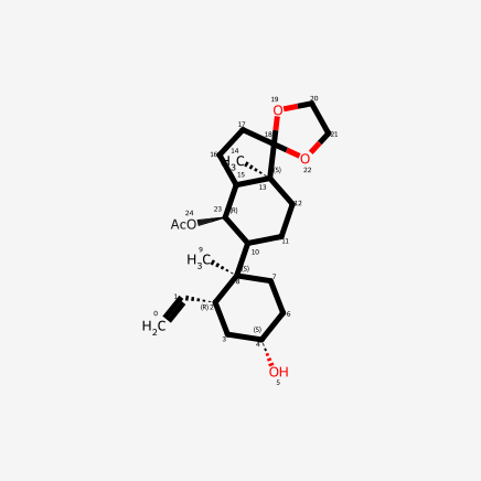 C=C[C@H]1C[C@@H](O)CC[C@]1(C)C1CC[C@@]2(C)C(CCC23OCCO3)[C@@H]1OC(C)=O